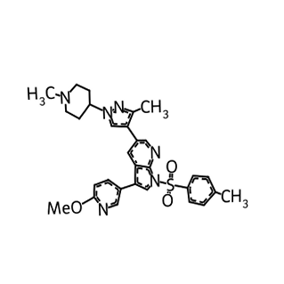 COc1ccc(-c2cn(S(=O)(=O)c3ccc(C)cc3)c3ncc(-c4cn(C5CCN(C)CC5)nc4C)cc23)cn1